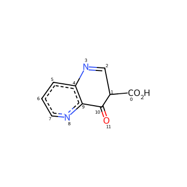 O=C(O)C1C=Nc2cccnc2C1=O